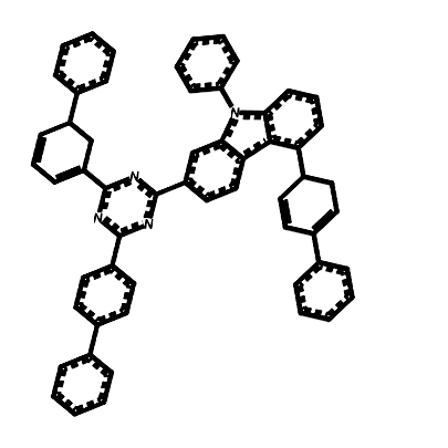 C1=CC(c2ccccc2)CC(c2nc(-c3ccc(-c4ccccc4)cc3)nc(-c3ccc4c5c(C6C=CC(c7ccccc7)=CC6)cccc5n(-c5ccccc5)c4c3)n2)=C1